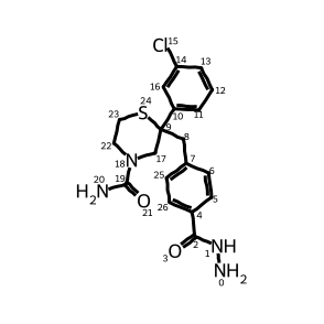 NNC(=O)c1ccc(CC2(c3cccc(Cl)c3)CN(C(N)=O)CCS2)cc1